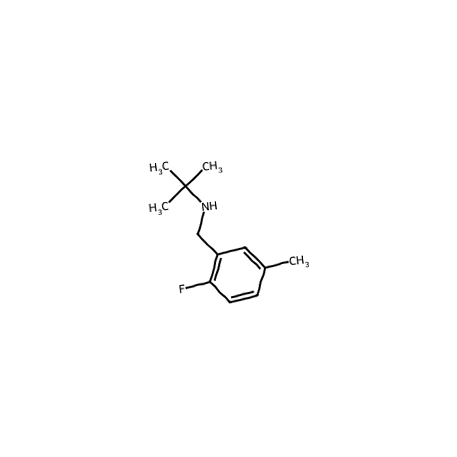 Cc1ccc(F)c(CNC(C)(C)C)c1